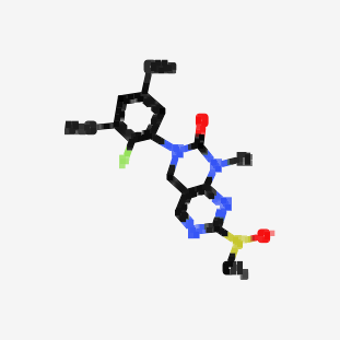 CCN1C(=O)N(c2cc(OC)cc(OC)c2F)Cc2cnc([S+](C)[O-])nc21